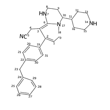 C/C=C(\C(CC#N)=C1\NCCC(C2CCNCC2)N1C)c1ccc(Cc2ccccc2)cc1